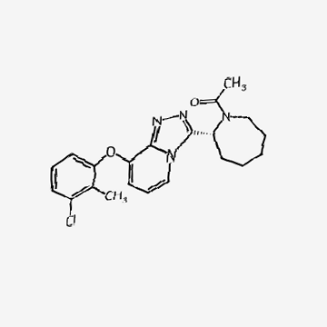 CC(=O)N1CCCCC[C@@H]1c1nnc2c(Oc3cccc(Cl)c3C)cccn12